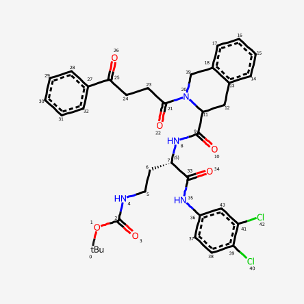 CC(C)(C)OC(=O)NCC[C@H](NC(=O)C1Cc2ccccc2CN1C(=O)CCC(=O)c1ccccc1)C(=O)Nc1ccc(Cl)c(Cl)c1